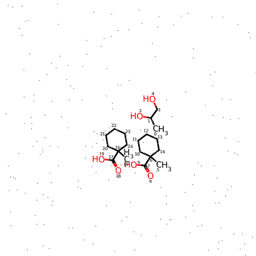 CC(O)CO.CC1(C(=O)O)CCCCC1.CC1(C(=O)O)CCCCC1